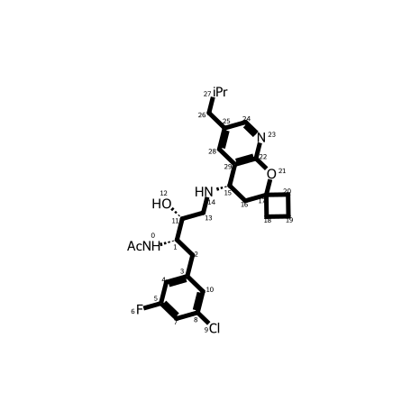 CC(=O)N[C@@H](Cc1cc(F)cc(Cl)c1)[C@H](O)CN[C@H]1CC2(CCC2)Oc2ncc(CC(C)C)cc21